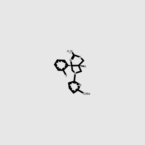 COc1cccc(N2C[C@H]3CSC(N)=N[C@@]3(c3ccccc3F)C2)n1